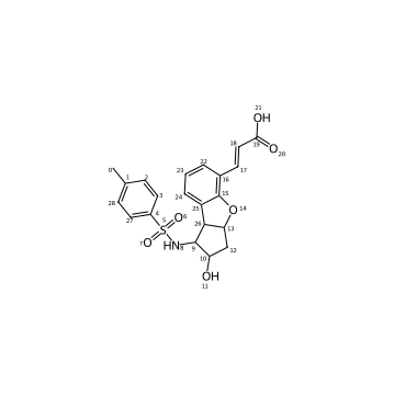 Cc1ccc(S(=O)(=O)NC2C(O)CC3Oc4c(C=CC(=O)O)cccc4C32)cc1